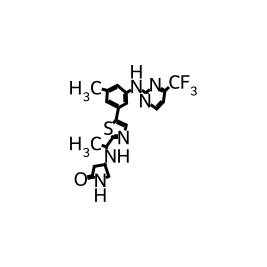 Cc1cc(Nc2nccc(C(F)(F)F)n2)cc(-c2cnc(C(C)NC3CNC(=O)C3)s2)c1